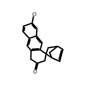 O=C1Cc2cc3ccc(Cl)cc3cc2C2(C1)CC1C=CC2C1